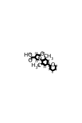 Cc1cc(C2=CCCCO2)cc(C)c1N1CC(C(=O)O)CC1=O